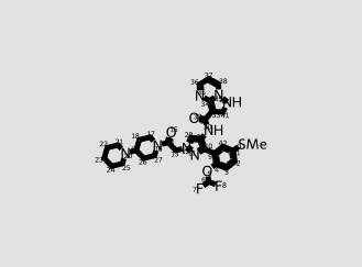 CSc1ccc(OC(F)F)c(-c2nn(CC(=O)N3CCC(N4CCCCC4)CC3)cc2NC(=O)C2=C3N=CC=CN3NC2)c1